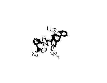 CCN1Cc2cc(-c3ccccc3C)ccc2[C@@H]1CNc1cnccc1C(=O)O